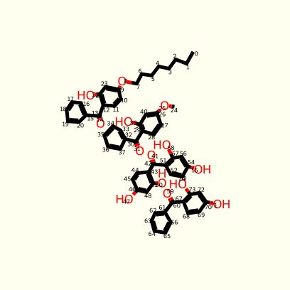 CCCCCCCCOc1ccc(C(=O)c2ccccc2)c(O)c1.COc1ccc(C(=O)c2ccccc2)c(O)c1.O=C(c1ccc(O)cc1O)c1ccc(O)cc1O.O=C(c1ccccc1)c1ccc(O)cc1O